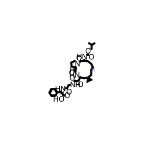 CC(C)COC(=O)N[C@H]1CC/C=C/CC2(CC2)CC(C(=O)C(=O)NCC(=O)N[C@H](C(=O)O)c2ccccc2)NC(=O)[C@@H]2CCCN2C1=O